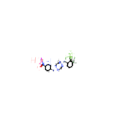 C[C@@H]1CN(Cc2ccc(C(=O)NO)cc2)C[C@H](C)N1Cc1cccc(Cl)c1C(F)(F)F